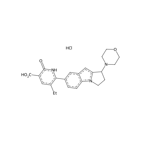 CCc1cc(C(=O)O)c(=O)[nH]c1-c1ccc2c(c1)cc1n2CCC1N1CCOCC1.Cl